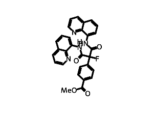 COC(=O)c1ccc(C(F)(C(=O)Nc2cccc3cccnc23)C(=O)Nc2cccc3cccnc23)cc1